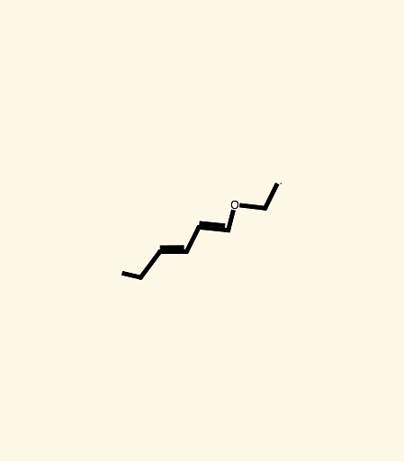 [CH2]COC=CC=CCC